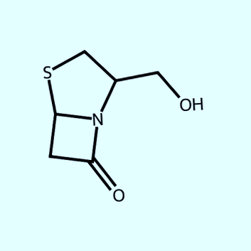 O=C1CC2SCC(CO)N12